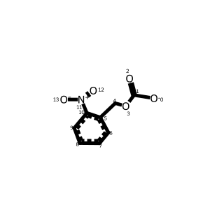 [O]C(=O)OCc1ccccc1[N+](=O)[O-]